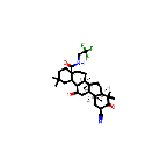 CC1(C)CC[C@]2(C(=O)NCC(F)(F)F)CC[C@]3(C)C(C(=O)C[C@@H]4[C@@]5(C)CC(C#N)C(=O)C(C)(C)[C@@H]5CC[C@]43C)C2C1